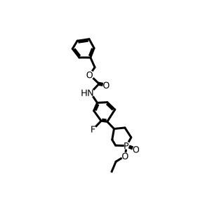 CCOP1(=O)CCC(c2ccc(NC(=O)OCc3ccccc3)cc2F)CC1